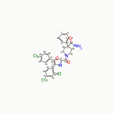 NC(=O)C1(c2ccccc2)CCN(C(=O)c2nc(-c3ccc(Cl)cc3Cl)c(-c3ccc(Cl)cc3)o2)CC1